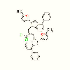 Cc1ccc(C2=Cc3c(-c4ccccc4)cccc3C2C[SiH](CC2C(c3ccc(C)o3)=Cc3c(-c4ccccc4)cccc32)[Zr]([Cl])[Cl])o1